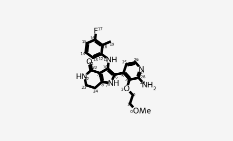 COCCOc1c(-c2[nH]c3c(c2Nc2cccc(F)c2C)C(=O)NCC3)ccnc1N